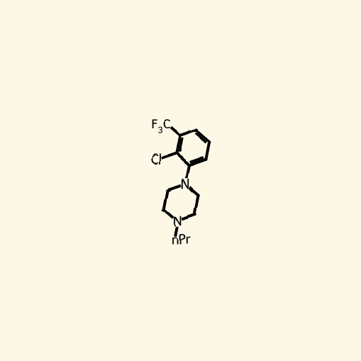 CCCN1CCN(c2cccc(C(F)(F)F)c2Cl)CC1